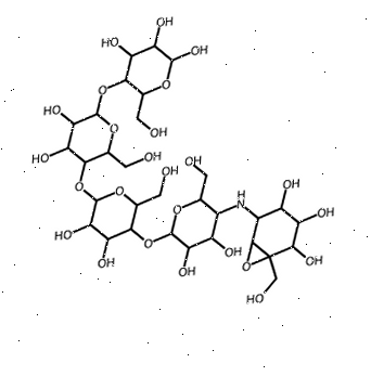 OCC1OC(OC2C(CO)OC(OC3C(CO)OC(OC4C(CO)OC(O)C(O)C4O)C(O)C3O)C(O)C2O)C(O)C(O)C1NC1C(O)C(O)C(O)C2(CO)OC12